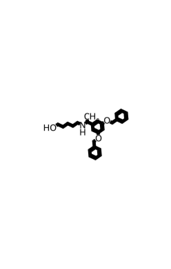 CC(NCCCCCO)c1cc(OCc2ccccc2)cc(OCc2ccccc2)c1